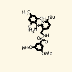 COc1cc(OC)cc(S(=O)(=O)NCc2ccc(C(C)(C)C)nc2N(N)c2c(C)cc(C)cc2C)c1